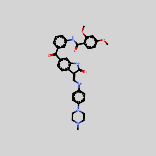 COc1ccc(C(=O)Nc2cccc(C(=O)c3ccc4c(c3)NC(=O)C4=CNc3ccc(N4CCN(C)CC4)cc3)c2)c(OC)c1